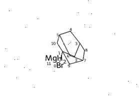 BrC12CC3CC(CC(C3)C1)C2.[MgH2]